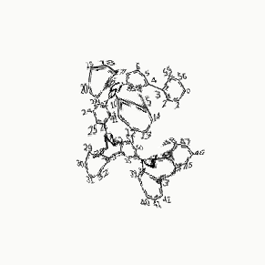 c1ccc(-c2cccc([Si](c3ccccc3)(c3ccccc3)c3cccc(-n4c5ccccc5c5cc(-n6c7ccccc7c7ccccc76)ccc54)c3)c2)cc1